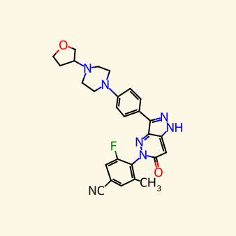 Cc1cc(C#N)cc(F)c1-n1nc2c(-c3ccc(N4CCN(C5CCOC5)CC4)cc3)n[nH]c2cc1=O